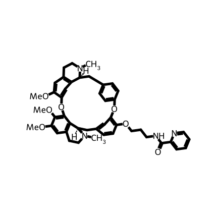 COc1cc2c3cc1Oc1c(OC)c(OC)cc4c1[C@@H](Cc1ccc(OCCCNC(=O)c5ccccn5)c(c1)Oc1ccc(cc1)C[C@@H]3N(C)CC2)N(C)CC4